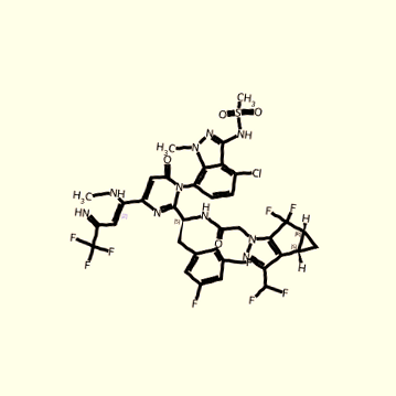 CN/C(=C\C(=N)C(F)(F)F)c1cc(=O)n(-c2ccc(Cl)c3c(NS(C)(=O)=O)nn(C)c23)c([C@H](Cc2cc(F)cc(F)c2)NC(=O)Cn2nc(C(F)F)c3c2C(F)(F)[C@@H]2C[C@H]32)n1